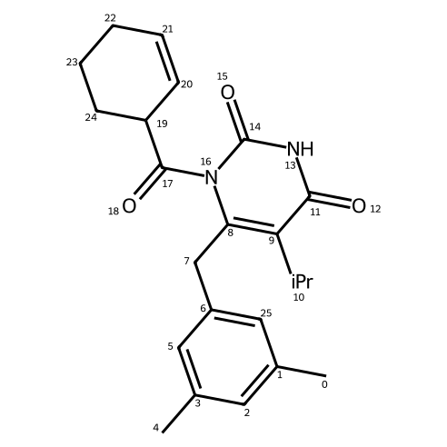 Cc1cc(C)cc(Cc2c(C(C)C)c(=O)[nH]c(=O)n2C(=O)C2C=CCCC2)c1